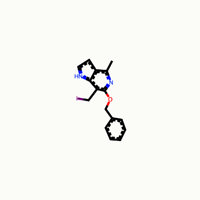 Cc1nc(OCc2ccccc2)c(CI)c2[nH]ccc12